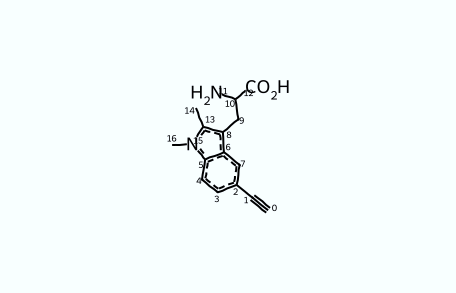 C#Cc1ccc2c(c1)c(CC(N)C(=O)O)c(C)n2C